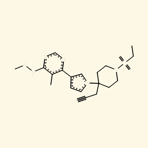 CCS(=O)(=O)N1CCC(CC#N)(n2ccc(-c3ncnc(NNC)c3C)c2)CC1